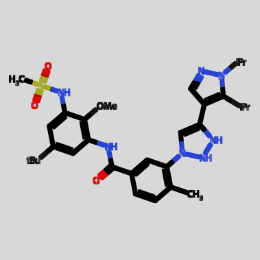 COc1c(NC(=O)c2ccc(C)c(N3C=C(c4cnn(C(C)C)c4C(C)C)NN3)c2)cc(C(C)(C)C)cc1NS(C)(=O)=O